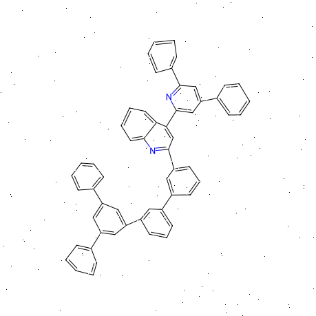 c1ccc(-c2cc(-c3ccccc3)cc(-c3cccc(-c4cccc(-c5cc(-c6cc(-c7ccccc7)cc(-c7ccccc7)n6)c6ccccc6n5)c4)c3)c2)cc1